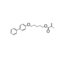 C=C(C)C(=O)OCCCCCOc1ccc(-c2ccccc2)cc1